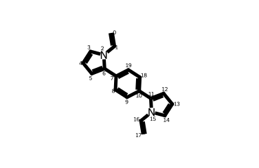 C=Cn1cccc1-c1ccc(-c2cccn2C=C)cc1